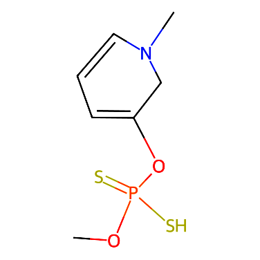 COP(=S)(S)OC1=CC=CN(C)C1